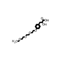 CCOCCOCCOCCOc1ccc(CC(O)C(=O)O)cc1